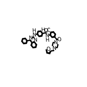 Cc1ccc(C(=O)N2CCN(Cc3ccco3)CC2)cc1NC(=O)c1ccc(Nc2nc(-c3ccccc3)c3ccccc3n2)cc1